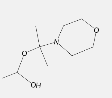 CC(O)OC(C)(C)N1CCOCC1